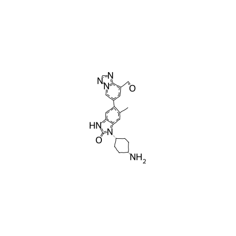 Cc1cc2c(cc1-c1cc(C=O)c3ncnn3c1)[nH]c(=O)n2[C@H]1CC[C@@H](N)CC1